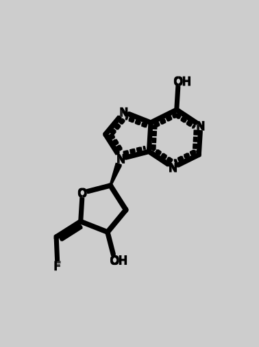 Oc1ncnc2c1ncn2[C@H]1CC(O)/C(=C\F)O1